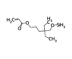 C=CC(=O)OCCCC(CC)(CC)CO[SiH3]